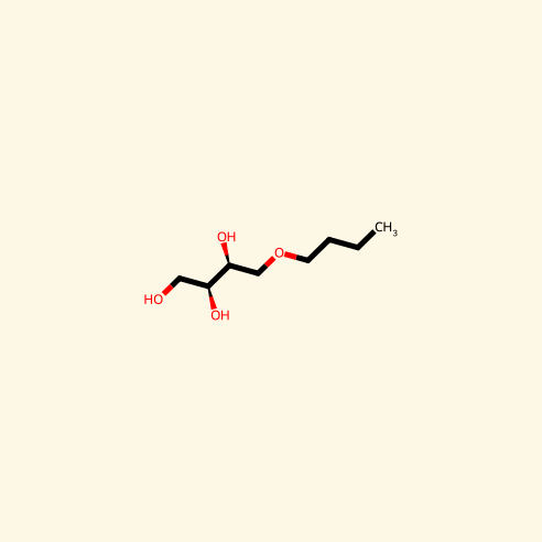 CCCCOC[C@H](O)[C@@H](O)CO